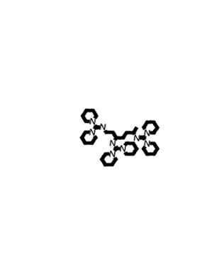 CC(CCC(CCN=C(N1CCCCC1)N1CCCCC1)N=C(N1CCCCC1)N1CCCCC1)N=C(N1CCCCC1)N1CCCCC1